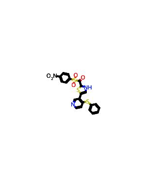 O=C(C1NC=C(c2cnccc2Sc2ccccc2)S1)S(=O)(=O)c1ccc([N+](=O)[O-])cc1